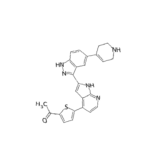 CC(=O)c1ccc(-c2ccnc3[nH]c(-c4n[nH]c5ccc(C6=CCNCC6)cc45)cc23)s1